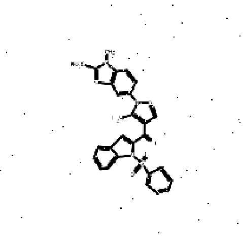 Cn1c(C(=O)O)nc2cc(-n3ncc(C(=O)c4cc5ccccc5n4S(=O)(=O)c4ccccc4)c3N)ccc21